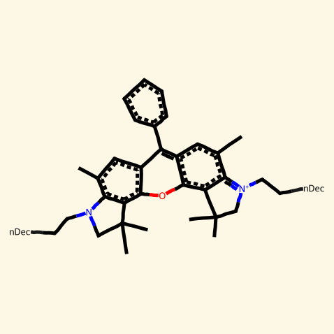 CCCCCCCCCCCCN1CC(C)(C)c2c3c(cc(C)c21)C(c1ccccc1)=c1cc(C)c2c(c1O3)C(C)(C)C[N+]=2CCCCCCCCCCCC